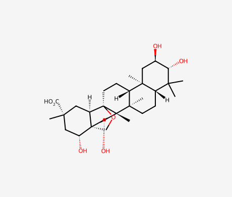 CC1(C)[C@@H](O)[C@H](O)C[C@]2(C)[C@H]3CC[C@]45OC[C@@]6([C@H](O)C[C@](C)(C(=O)O)C[C@H]64)[C@H](O)C[C@@]5(C)[C@]3(C)CC[C@@H]12